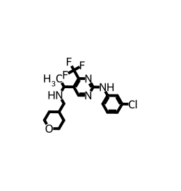 CC(NCC1CCOCC1)c1cnc(Nc2cccc(Cl)c2)nc1C(F)(F)F